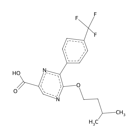 CC(C)CCOc1ncc(C(=O)O)nc1-c1ccc(C(F)(F)F)cc1